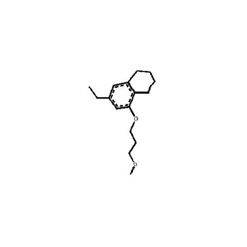 CCc1cc2c(c(OCCCOC)c1)CCCC2